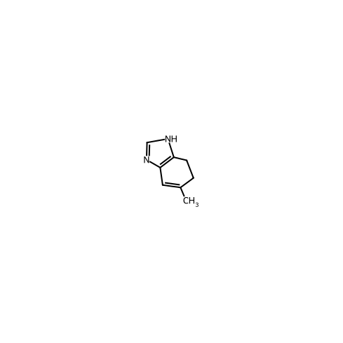 CC1=Cc2nc[nH]c2CC1